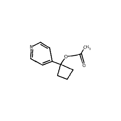 CC(=O)OC1(c2ccncc2)CCC1